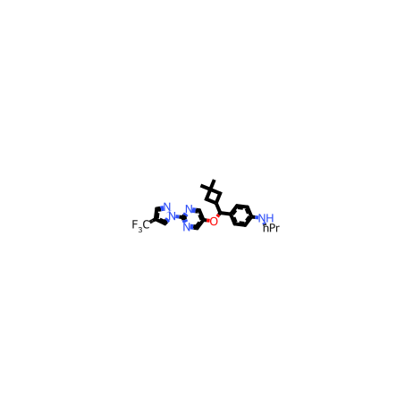 CCCNc1ccc(C(Oc2cnc(-n3cc(C(F)(F)F)cn3)nc2)C2CC(C)(C)C2)cc1